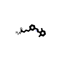 Cc1cccc(C)c1/C=C/c1cccc(CCCC(N)=O)c1